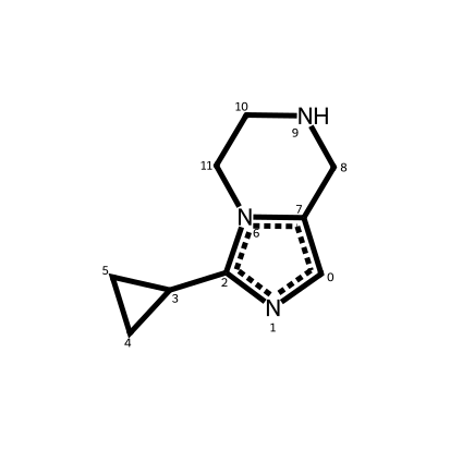 c1nc(C2CC2)n2c1CNCC2